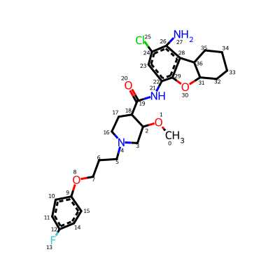 COC1CN(CCCOc2ccc(F)cc2)CCC1C(=O)Nc1cc(Cl)c(N)c2c1OC1CCCCC21